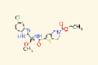 CCOC(=O)N1CCc2sc(C(=O)N[C@@H](COC)c3nc4cc(Cl)ccc4[nH]3)cc2C1